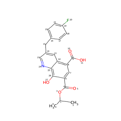 CC(C)OC(=O)c1cc(C(=O)O)c2cc(Cc3ccc(F)cc3)cnc2c1O